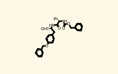 CC(C)[C@H](NC(=O)OCc1ccccc1)C(=O)N[C@H](C=O)Cc1ccc(OCc2ccccc2)cc1